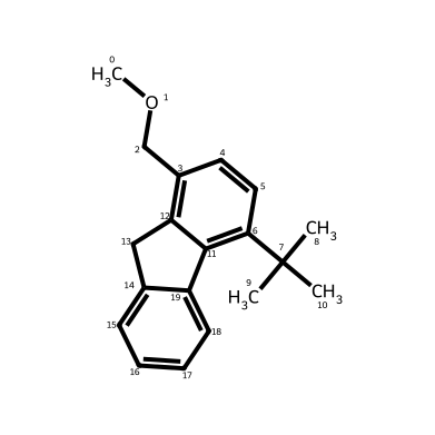 COCc1ccc(C(C)(C)C)c2c1Cc1ccccc1-2